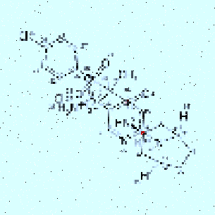 CC(C)(C(=O)N[C@H]1C[C@H]2CC[C@@H](C1)N2c1ccc(C(N)=O)cn1)S(=O)(=O)c1ccc(Cl)cc1Cl